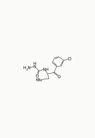 CC(C)(C)CC(NC(=O)NN)C(=O)c1cccc(Cl)c1